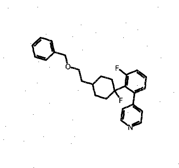 Fc1cccc(-c2ccncc2)c1C1(F)CCC(CCOCc2ccccc2)CC1